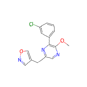 COc1ncc(Cc2cnoc2)nc1-c1cccc(Cl)c1